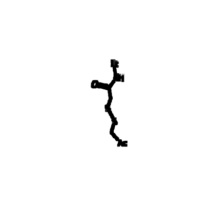 CCNC(=O)CSSCC(C)=O